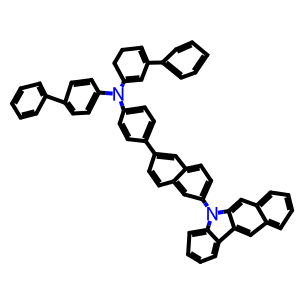 C1=C(c2ccccc2)C=C(N(c2ccc(-c3ccccc3)cc2)c2ccc(-c3ccc4cc(-n5c6ccccc6c6cc7ccccc7cc65)ccc4c3)cc2)CC1